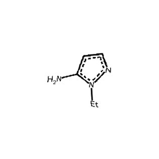 [CH2]Cn1nccc1N